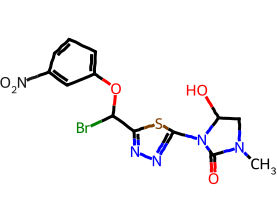 CN1CC(O)N(c2nnc(C(Br)Oc3cccc([N+](=O)[O-])c3)s2)C1=O